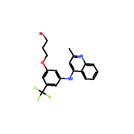 Cc1cc(Nc2cc(OCCCBr)cc(C(F)(F)F)c2)c2ccccc2n1